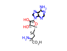 Nc1ncnc2c1ncn2[C@@H]1O[C@H](C[Se]C[C@H](N)C(=O)O)[C@@H](O)[C@H]1O